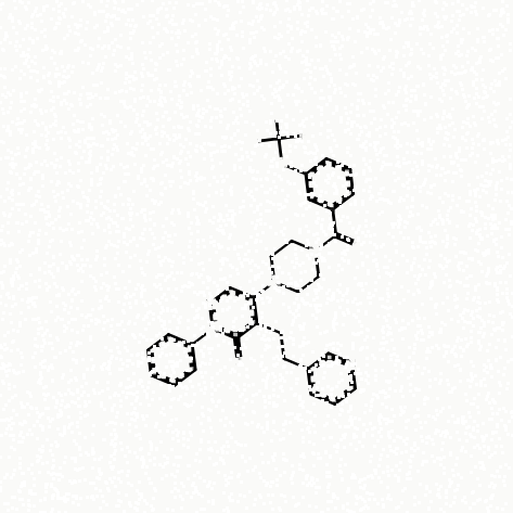 O=C(c1cccc(SC(F)(F)F)c1)N1CCN(c2cnn(-c3ccccc3)c(=O)c2CCc2cccnc2)CC1